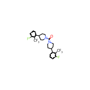 O=C(N1CCC(c2cccc(F)c2C(F)(F)F)CC1)N1CCC(c2cccc(F)c2C(F)(F)F)CC1